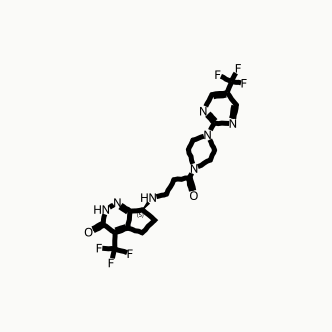 O=C(CCN[C@H]1CCc2c1n[nH]c(=O)c2C(F)(F)F)N1CCN(c2ncc(C(F)(F)F)cn2)CC1